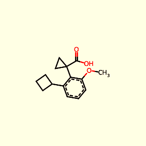 COc1cccc(C2CCC2)c1C1(C(=O)O)CC1